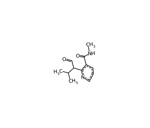 CNC(=O)c1cccnc1C(C=O)C(C)C